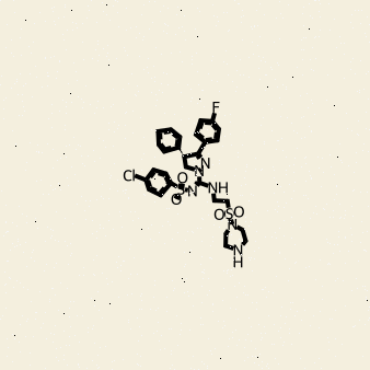 O=S(=O)(N=C(NCCS(=O)(=O)N1CCNCC1)N1C[C@H](c2ccccc2)C(c2ccc(F)cc2)=N1)c1ccc(Cl)cc1